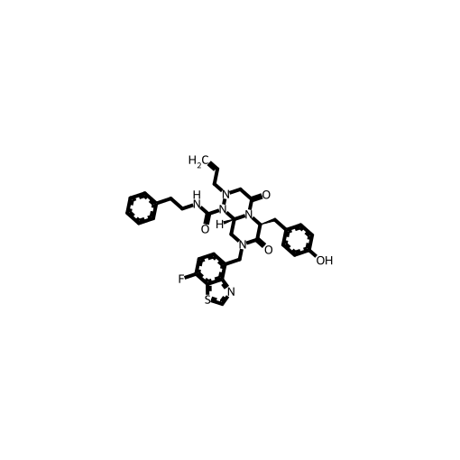 C=CCN1CC(=O)N2[C@@H](Cc3ccc(O)cc3)C(=O)N(Cc3ccc(F)c4scnc34)C[C@@H]2N1C(=O)NCCc1ccccc1